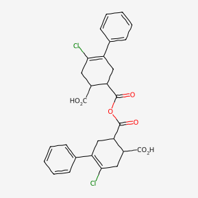 O=C(O)C1CC(Cl)=C(c2ccccc2)CC1C(=O)OC(=O)C1CC(c2ccccc2)=C(Cl)CC1C(=O)O